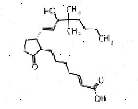 CCCCC(C)(C)[C@H](O)/C=C/[C@H]1CCC(=O)[C@@H]1CCCC/C=C/C(=O)O